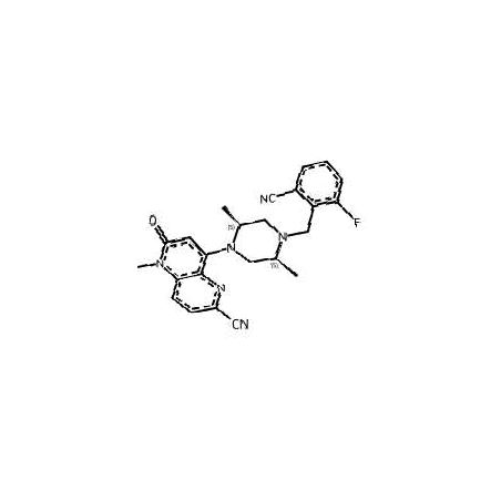 C[C@H]1CN(c2cc(=O)n(C)c3ccc(C#N)nc23)[C@@H](C)CN1Cc1c(F)cccc1C#N